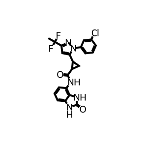 CC(F)(F)c1cc(C2CC2C(=O)Nc2cccc3[nH]c(=O)[nH]c23)n(-c2cccc(Cl)c2)n1